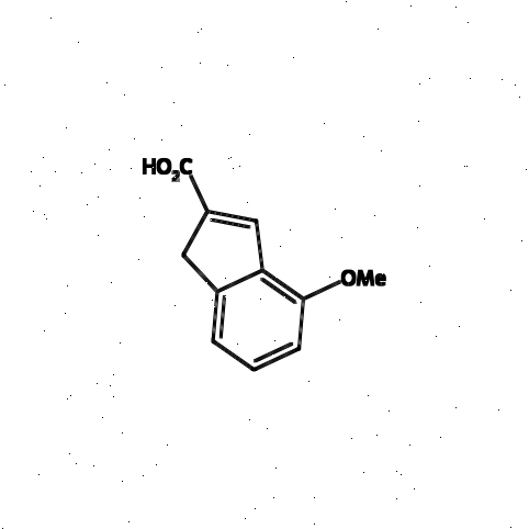 COc1cccc2c1C=C(C(=O)O)C2